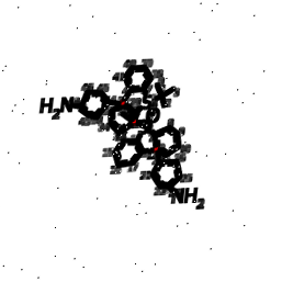 CC(C)(C)[Si](O[Si](c1ccccc1)(c1ccccc1Cc1ccc(N)cc1)C(C)(C)C)(c1ccccc1)c1ccccc1Cc1ccc(N)cc1